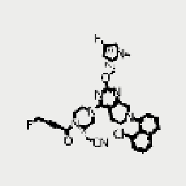 CN1C[C@H](F)C[C@H]1COc1nc2c(c(N3CCN(C(=O)C#CCF)[C@@H](CC#N)C3)n1)CCN(c1cccc3cccc(Cl)c13)C2